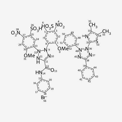 COc1cc([N+](=O)[O-])c(S(=O)(=O)O)cc1N1N=C(C(=O)Nc2ccccc2)NN1c1cc(S(=O)(=O)O)c([N+](=O)[O-])cc1OC.Cc1nc(-n2nc(-c3ccccc3)n[n+]2-c2ccccc2)sc1C.[Br-]